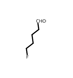 O=[C]CCCCF